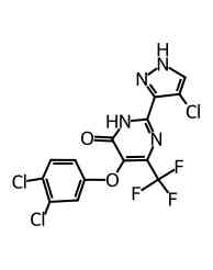 O=c1[nH]c(-c2n[nH]cc2Cl)nc(C(F)(F)F)c1Oc1ccc(Cl)c(Cl)c1